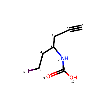 C#CCC(CCI)NC(=O)O